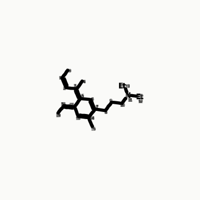 C\C=C/C(C)=c1/cc(CCCN(CC)CC)c(C)c/c1=C\C